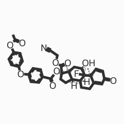 CC(=O)Oc1ccc(Oc2ccc(C(=O)O[C@@]3(C(=O)OCC#N)CC[C@H]4[C@@H]5CCC6=CC(=O)C=C[C@]6(C)C5(F)[C@@H](O)C[C@@]43C)cc2)cc1